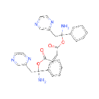 NC(Cc1cnccn1)(OC(=O)/C=C\C(=O)OC(N)(Cc1cnccn1)c1ccccc1)c1ccccc1